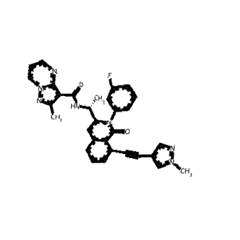 Cc1nn2cccnc2c1C(=O)N[C@H](C)c1cc2cccc(C#Cc3cnn(C)c3)c2c(=O)n1-c1cccc(F)c1